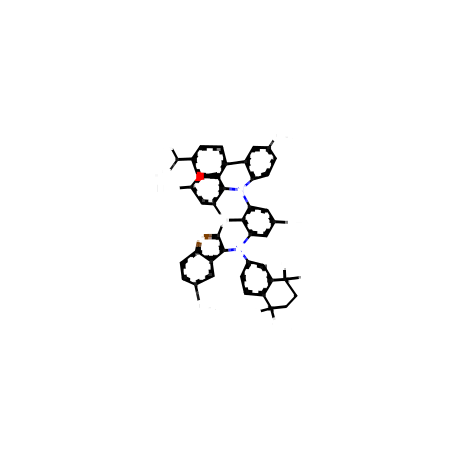 CCCCC(C)c1ccc(-c2cc(C(C)(C)C)ccc2N2c3ccc(C)cc3B3c4sc5ccc(C(C)(C)C)cc5c4N(c4ccc5c(c4)C(C)(C)CCC5(C)C)c4cc(C)cc2c43)cc1